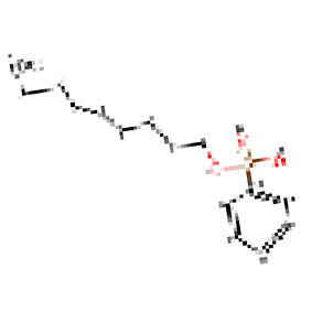 CCCCCCCCCCCCCCCCCCOS(=O)(=O)c1ccccc1